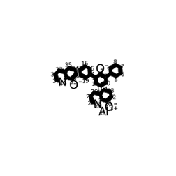 [Al+3].[O-]c1c(-c2ccccc2)cccc1-c1ccccc1.[O-]c1cccc2cccnc12.[O-]c1cccc2cccnc12